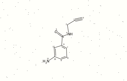 C#CCNC(=O)c1cccc(N)c1